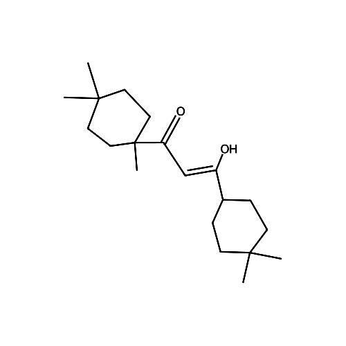 CC1(C)CCC(/C(O)=C/C(=O)C2(C)CCC(C)(C)CC2)CC1